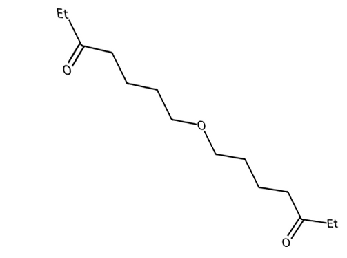 CCC(=O)CCCCOCCCCC(=O)CC